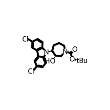 CC(C)(C)OC(=O)N1CCC[C@H](n2c3ccc(Cl)cc3c3cc(Cl)ccc32)[C@@H](O)C1